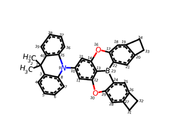 CC1(C)c2ccccc2N(c2cc3c4c(c2)Oc2cc5c(cc2B4c2cc4c(cc2O3)CC4)CC5)c2ccccc21